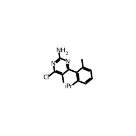 Cc1cccc(C(C)C)c1-c1nc(N)nc(Cl)c1C